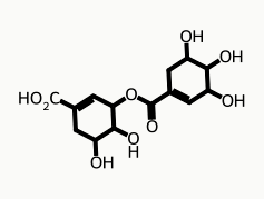 O=C(O)C1=CC(OC(=O)C2=CC(O)C(O)C(O)C2)C(O)C(O)C1